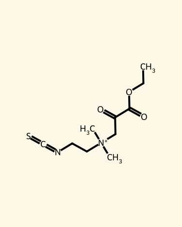 CCOC(=O)C(=O)C[N+](C)(C)CCN=C=S